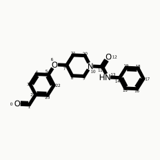 O=Cc1ccc(OC2CCN(C(=O)Nc3ccccc3)CC2)cc1